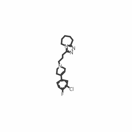 Fc1ccc(C2=CCN(CCCc3nnc4n3CCCCC4)CC2)cc1Cl